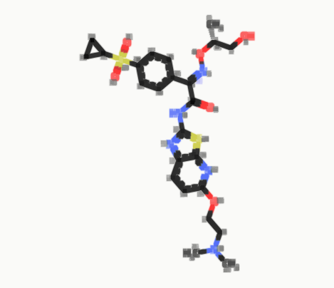 C[C@H](CO)O/N=C(/C(=O)Nc1nc2ccc(OCCN(C)C)nc2s1)c1ccc(S(=O)(=O)C2CC2)cc1